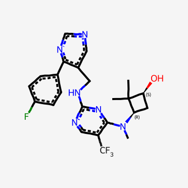 CN(c1nc(NCc2cncnc2-c2ccc(F)cc2)ncc1C(F)(F)F)[C@@H]1C[C@H](O)C1(C)C